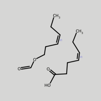 CC/C=C\CCC(=O)O.CC/C=C\CCOC=O